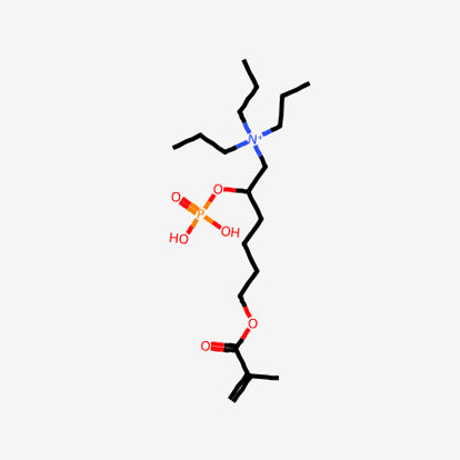 C=C(C)C(=O)OCCCCC(C[N+](CCC)(CCC)CCC)OP(=O)(O)O